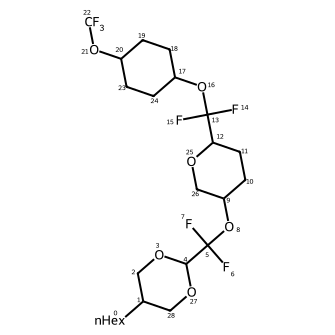 CCCCCCC1COC(C(F)(F)OC2CCC(C(F)(F)OC3CCC(OC(F)(F)F)CC3)OC2)OC1